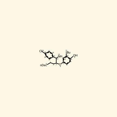 CCCCCCCCCCCCC(Oc1ccc(O)c(C(C)(C)C)c1)C(N)c1c[c]c(Cl)cc1